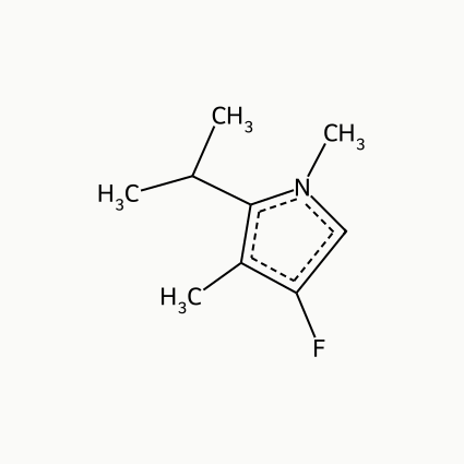 Cc1c(F)cn(C)c1C(C)C